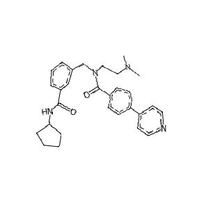 CN(C)CCN(Cc1cccc(C(=O)NC2CCCC2)c1)C(=O)c1ccc(-c2ccncc2)cc1